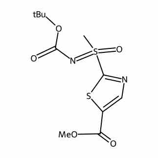 COC(=O)c1cnc(S(C)(=O)=NC(=O)OC(C)(C)C)s1